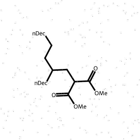 CCCCCCCCCCCCC(CCCCCCCCCC)CC(C(=O)OC)C(=O)OC